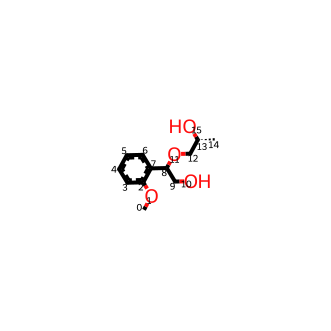 COc1ccccc1C(CO)OC[C@@H](C)O